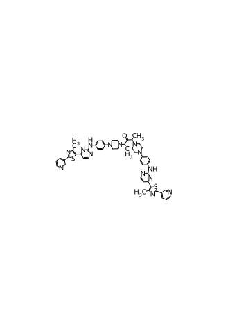 Cc1nc(-c2cccnc2)sc1-c1ccnc(Nc2ccc(N3CCN(C(C)C(=O)C(C)N4CCN(c5ccc(Nc6nccc(-c7sc(-c8cccnc8)nc7C)n6)cc5)CC4)CC3)cc2)n1